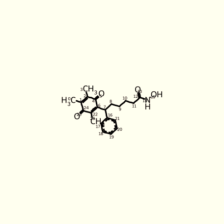 CC1=C(C)C(=O)C(C(CCCCC(=O)NO)c2ccccc2)=C(C)C1=O